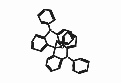 c1ccc(P(c2ccccc2)c2ccccc2C2(c3ccccc3P(c3ccccc3)c3ccccc3)CO2)cc1